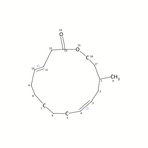 CC1C/C=C\CCCCC/C=C/CC(=O)OCC1